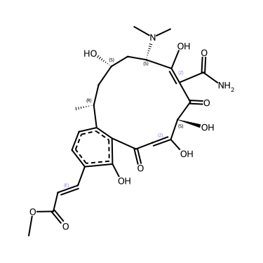 COC(=O)/C=C/c1ccc2c(c1O)C(=O)/C=C(\O)[C@H](O)C(=O)/C(C(N)=O)=C(/O)[C@@H](N(C)C)C[C@@H](O)C[C@H]2C